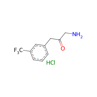 Cl.NCC(=O)Cc1cccc(C(F)(F)F)c1